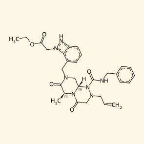 C=CCN1CC(=O)N2[C@@H](C)C(=O)N(Cc3cccc4[nH]n(CC(=O)OCC)c34)C[C@@H]2N1C(=O)NCc1ccccc1